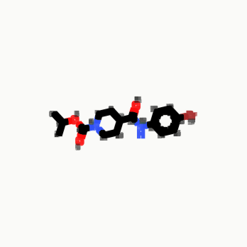 CC(C)OC(=O)N1CCC(C(=O)Nc2ccc(Br)cc2)CC1